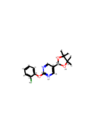 CC1(C)OB(c2cnc(Oc3ccccc3F)nc2)OC1(C)C